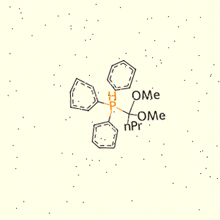 [CH2]CCC(OC)(OC)[PH](c1ccccc1)(c1ccccc1)c1ccccc1